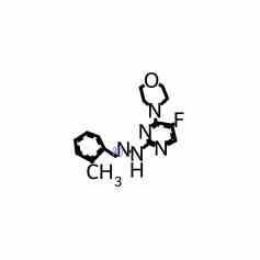 Cc1ccccc1/C=N/Nc1ncc(F)c(N2CCOCC2)n1